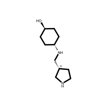 O[C@H]1CC[C@H](NC[C@@H]2CCNC2)CC1